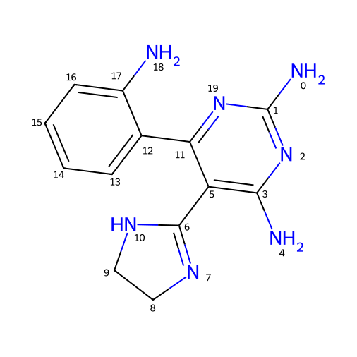 Nc1nc(N)c(C2=NCCN2)c(-c2ccccc2N)n1